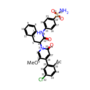 COc1cn(C(Cc2ccccc2)C(=O)Nc2ccc(S(N)(=O)=O)cc2)c(=O)cc1-c1cc(Cl)ccc1C(C)=O